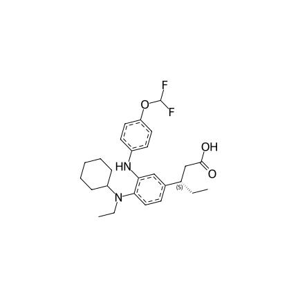 CC[C@@H](CC(=O)O)c1ccc(N(CC)C2CCCCC2)c(Nc2ccc(OC(F)F)cc2)c1